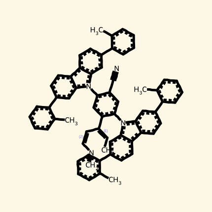 C=N/C=C\C(=C/C)c1cc(-n2c3cc(-c4ccccc4C)ccc3c3ccc(-c4ccccc4C)cc32)c(C#N)cc1-n1c2cc(-c3ccccc3C)ccc2c2ccc(-c3ccccc3C)cc21